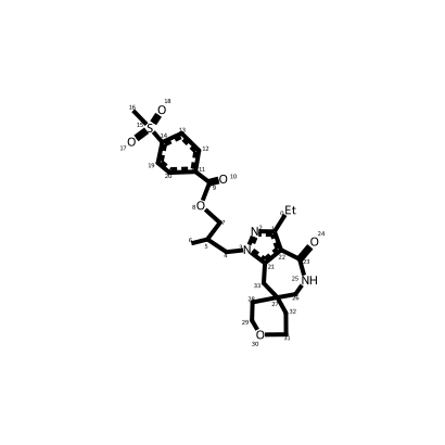 CCc1nn(CC(C)COC(=O)c2ccc(S(C)(=O)=O)cc2)c2c1C(=O)NCC1(CCOCC1)C2